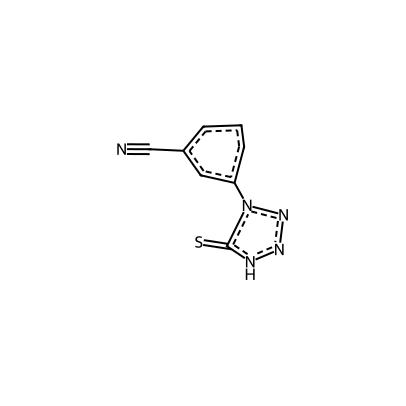 N#Cc1cccc(-n2nn[nH]c2=S)c1